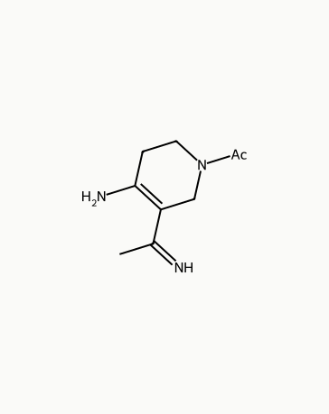 CC(=N)C1=C(N)CCN(C(C)=O)C1